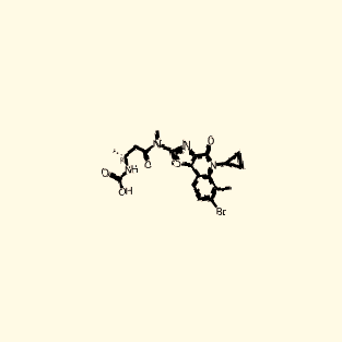 Cc1c(Br)ccc2c3oc(N(C)C(=O)C[C@@H](C)NC(=O)O)nc3c(=O)n(C3CC3)c12